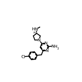 CN[C@@H]1CCN(c2cc(Cc3ccc(Cl)cc3)nc(N)n2)C1